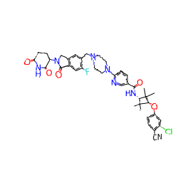 CC1(C)[C@H](NC(=O)c2ccc(N3CCN(Cc4cc5c(cc4F)C(=O)N(C4CCC(=O)NC4=O)C5)CC3)nc2)C(C)(C)[C@H]1Oc1ccc(C#N)c(Cl)c1